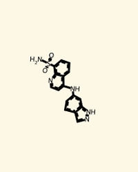 NS(=O)(=O)c1cccc2c(Nc3ccc4cn[nH]c4c3)ccnc12